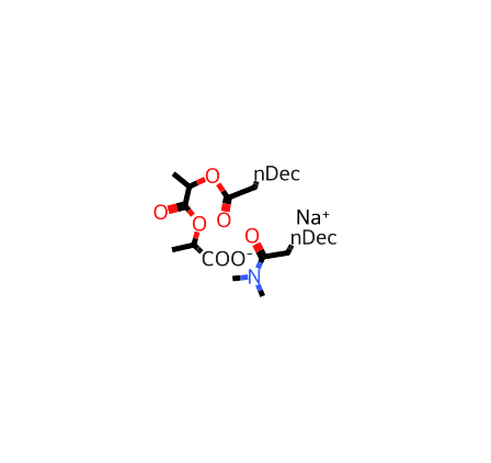 CCCCCCCCCCCC(=O)N(C)C.CCCCCCCCCCCC(=O)OC(C)C(=O)OC(C)C(=O)[O-].[Na+]